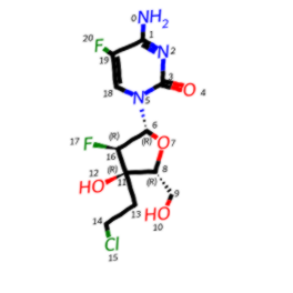 Nc1nc(=O)n([C@@H]2O[C@H](CO)[C@](O)(CCCl)[C@H]2F)cc1F